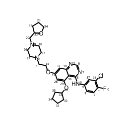 Fc1ccc(Nc2ncnc3cc(OCCN4CCN(CC5CCCO5)CC4)cc(OC4CCCC4)c23)cc1Cl